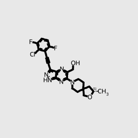 C[C@H]1CC2(CCN(c3nc4[nH]nc(C#Cc5c(F)ccc(F)c5Cl)c4nc3CO)CC2)CO1